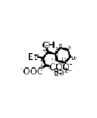 CCC(C(C(=O)[O-])C(=O)[O-])C(C)C1CCCCC1.[Ba+2]